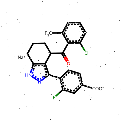 O=C([O-])c1ccc(-c2n[nH]c3c2C(C(=O)c2c(Cl)cccc2C(F)(F)F)CCC3)c(F)c1.[Na+]